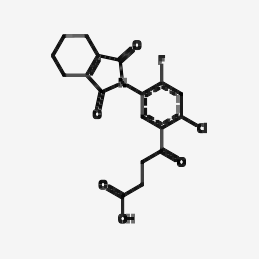 O=C(O)CCC(=O)c1cc(N2C(=O)C3=C(CCCC3)C2=O)c(F)cc1Cl